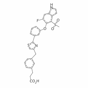 CS(=O)(=O)c1c(Oc2cccc(-c3nc(Cc4cccc(CCC(=O)O)c4)cs3)c2)c(F)cc2[nH]ccc12